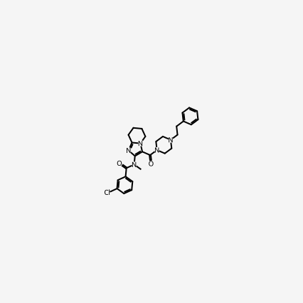 CN(C(=O)c1cccc(Cl)c1)c1nc2n(c1C(=O)N1CCN(CCc3ccccc3)CC1)CCCC2